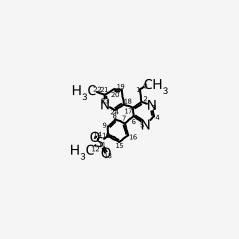 CCc1ncnc(-c2ccc(S(C)(=O)=O)cc2)c1-c1ccc(C)nc1